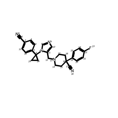 N#Cc1ccc(C2(n3cncc3CN3CCC(C#N)(c4ccc(F)cc4)CC3)CC2)cc1